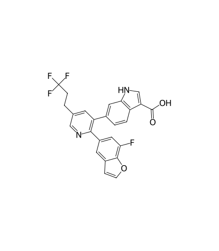 O=C(O)c1c[nH]c2cc(-c3cc(CCC(F)(F)F)cnc3-c3cc(F)c4occc4c3)ccc12